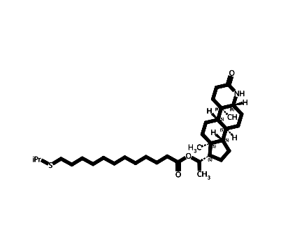 CC(C)SCCCCCCCCCCCC(=O)OC(C)[C@H]1CC[C@H]2[C@@H]3CC[C@H]4NC(=O)CC[C@]4(C)[C@H]3CC[C@]12C